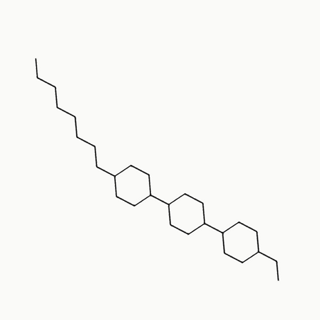 CCCCCCCCC1CCC(C2CCC(C3CCC(CC)CC3)CC2)CC1